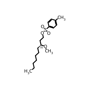 CCCCCCC[C@@H](CCOS(=O)(=O)c1ccc(C)cc1)OC